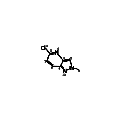 Cn1cc2nc(Cl)ccc2n1